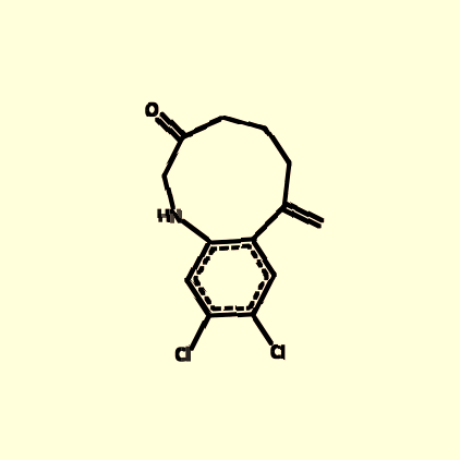 C=C1CCCC(=O)CNc2cc(Cl)c(Cl)cc21